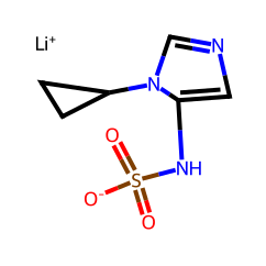 O=S(=O)([O-])Nc1cncn1C1CC1.[Li+]